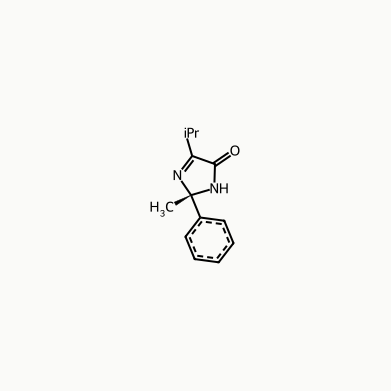 CC(C)C1=N[C@@](C)(c2ccccc2)NC1=O